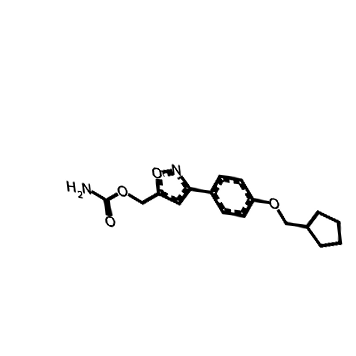 NC(=O)OCc1cc(-c2ccc(OCC3CCCC3)cc2)no1